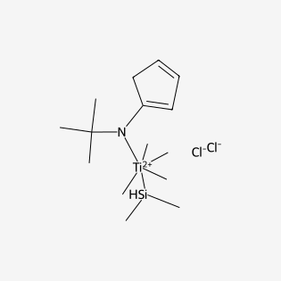 C[SiH](C)[Ti+2]([CH3])([CH3])([CH3])([CH3])[N](C1=CC=CC1)C(C)(C)C.[Cl-].[Cl-]